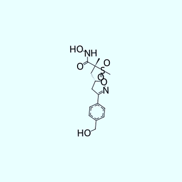 C[C@@](C[C@H]1CC(c2ccc(CO)cc2)=NO1)(C(=O)NO)S(C)(=O)=O